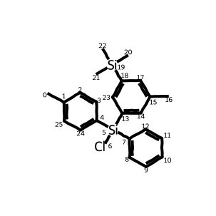 Cc1ccc([Si](Cl)(c2ccccc2)c2cc(C)cc([Si](C)(C)C)c2)cc1